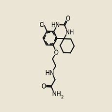 NC(=O)CNCCOc1ccc(Cl)c2c1C1(CCCCC1)NC(=O)N2